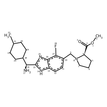 COC(=O)[C@H]1CCCN1Cc1ccc2[nH]c([C@@H](N)C3CCC(C)CC3)nc2c1F